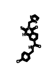 O=C(NCc1ccc(Cl)cc1)c1ccc2c(=O)n(Cc3nccs3)c(=S)[nH]c2c1